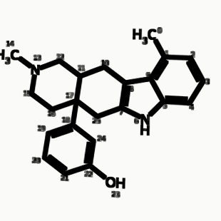 Cc1cccc2[nH]c3c(c12)CC1CN(C)CCC1(c1cccc(O)c1)C3